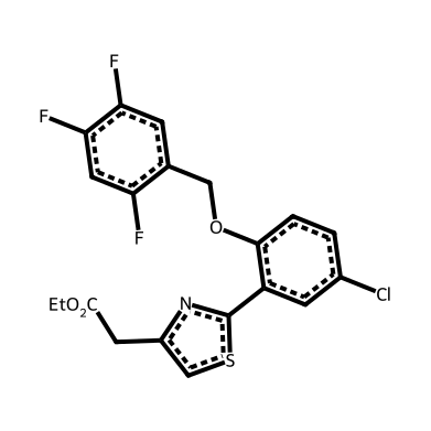 CCOC(=O)Cc1csc(-c2cc(Cl)ccc2OCc2cc(F)c(F)cc2F)n1